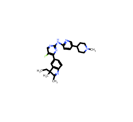 CCC1(C)C(C)=Nc2ccc(-c3nc(Nc4ccc(C5CCN(C)CC5)cn4)ncc3F)cc21